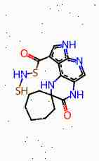 O=C(SNS)c1c[nH]c2ncc3c(c12)NC1(CCCCCC1)C(=O)N3